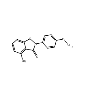 COc1ccc(-n2sc3cccc(O)c3c2=O)cc1